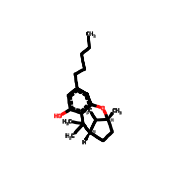 CCCCCc1cc(O)c2c(c1)O[C@]1(C)CC[C@@H](C1C)C2(C)C